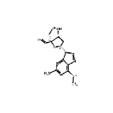 C=C[C@]1(CO)O[C@@H](n2cnc3c(NC)nc(N)nc32)C[C@@H]1O